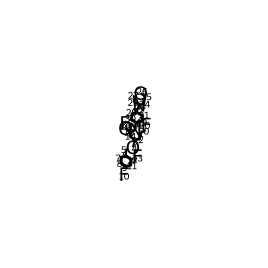 Cc1cc(OCc2ccc(F)cc2F)cc(=O)n1-c1c(F)cc(N2CCOCC2)cc1F